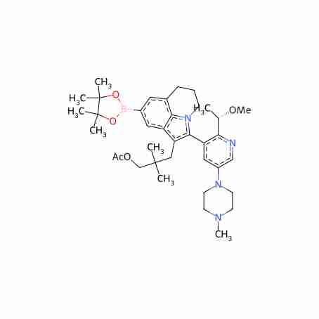 CO[C@@H](C)c1ncc(N2CCN(C)CC2)cc1-c1c(CC(C)(C)COC(C)=O)c2cc(B3OC(C)(C)C(C)(C)O3)cc3c2n1CCC3